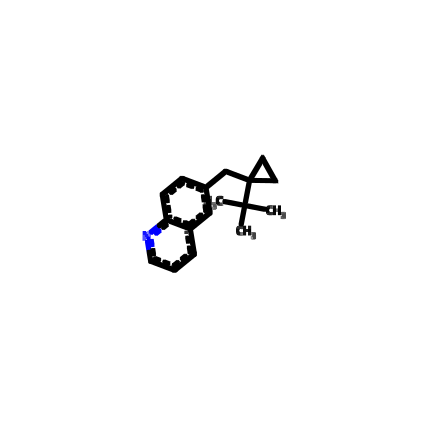 CC(C)(C)C1(Cc2ccc3ncccc3c2)CC1